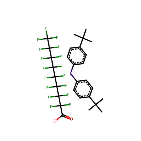 CC(C)(C)c1ccc([I+]c2ccc(C(C)(C)C)cc2)cc1.O=C([O-])C(F)(F)C(F)(F)C(F)(F)C(F)(F)C(F)(F)C(F)(F)C(F)(F)C(F)(F)F